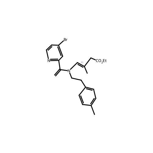 C=C(c1cc(Br)ccn1)N(/C=C(\C)CC(=O)OCC)CCc1ccc(C)cc1